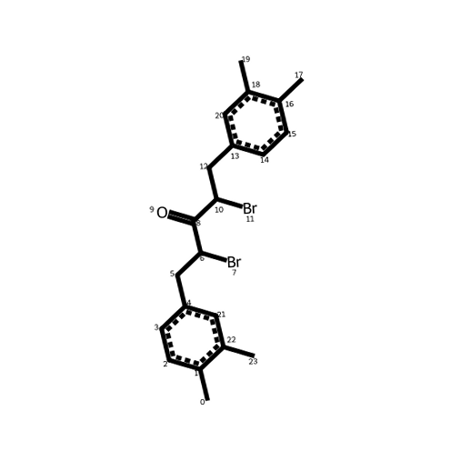 Cc1ccc(CC(Br)C(=O)C(Br)Cc2ccc(C)c(C)c2)cc1C